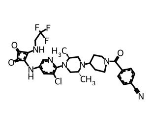 C[C@@H]1CN(c2ncc(Nc3c(NCC(F)(F)F)c(=O)c3=O)cc2Cl)[C@@H](C)CN1C1CCN(C(=O)c2ccc(C#N)cc2)CC1